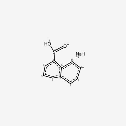 O=S(O)c1cccc2ccccc12.[NaH]